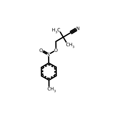 Cc1ccc(S(=O)OCC(C)(C)C#N)cc1